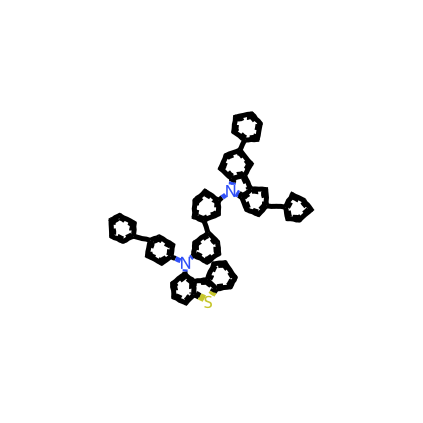 c1ccc(-c2ccc(N(c3cccc(-c4cccc(-n5c6ccc(-c7ccccc7)cc6c6cc(-c7ccccc7)ccc65)c4)c3)c3cccc4sc5ccccc5c34)cc2)cc1